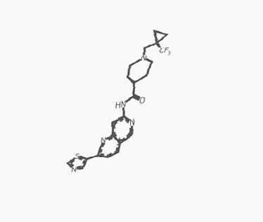 O=C(Nc1cc2nc(-c3cncs3)ccc2cn1)C1CCN(CC2(C(F)(F)F)CC2)CC1